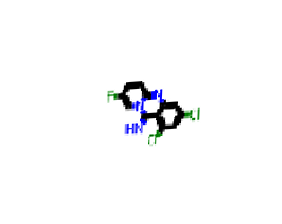 N=c1c2c(Cl)cc(Cl)cc2nc2ccc(F)cn12